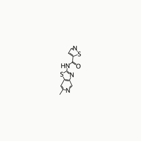 Cc1cc2sc(NC(=O)c3ccns3)nc2cn1